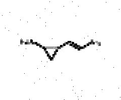 O=C(O)C1CC1C=CC(F)(F)F